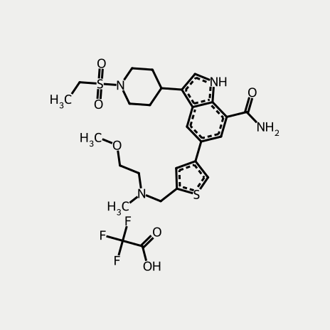 CCS(=O)(=O)N1CCC(c2c[nH]c3c(C(N)=O)cc(-c4csc(CN(C)CCOC)c4)cc23)CC1.O=C(O)C(F)(F)F